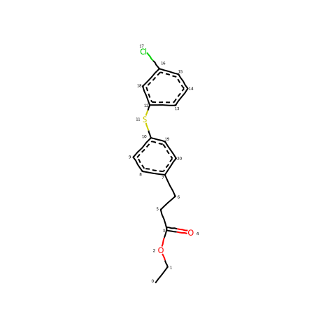 CCOC(=O)CCc1ccc(Sc2cccc(Cl)c2)cc1